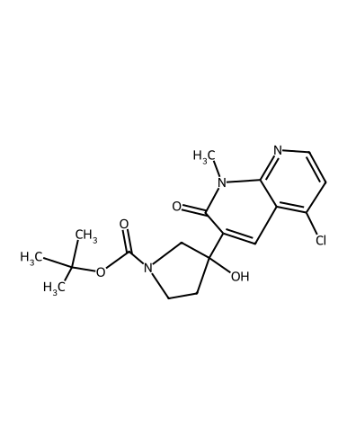 Cn1c(=O)c(C2(O)CCN(C(=O)OC(C)(C)C)C2)cc2c(Cl)ccnc21